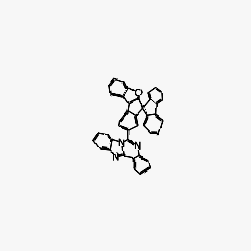 c1ccc2c(c1)-c1ccccc1C21c2cc(-c3nc4ccccc4c4nc5ccccc5n34)ccc2-c2c1oc1ccccc21